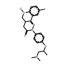 CC(CN(C)C)Oc1ccc(N2N=C3c4cc(F)ccc4[S+]([O-])CC3CC2=O)cc1